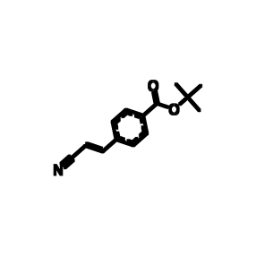 CC(C)(C)OC(=O)c1ccc(C=CC#N)cc1